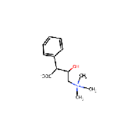 C[N+](C)(C)CC(O)C(C(=O)[O-])c1ccccc1